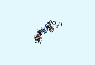 Cc1cc(Cc2nc3ccc(C(=O)O)cc3n2[C@@H]2COCC2(C)C)c(F)cc1-c1cccc(OCc2ccc(C#N)cc2F)n1